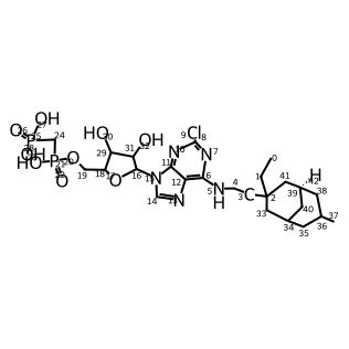 CCC1(CCNc2nc(Cl)nc3c2ncn3C2OC(COP(=O)(O)CP(=O)(O)O)C(O)C2O)CC2CC(C)C[C@@H](C2)C1